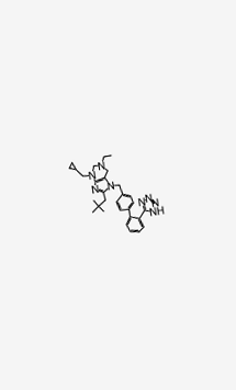 CCN1Cc2c(nc(CC(C)(C)C)n2Cc2ccc(-c3ccccc3-c3nnn[nH]3)cc2)N(CC2CC2)C1